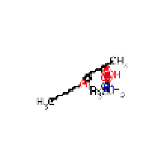 CCCCCCCCCCCCOc1ccc(CCCC(COP(=O)(O)OCC[N+](C)(C)C)CC(=O)CCC)cc1